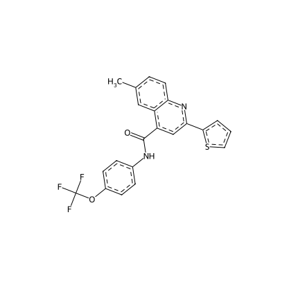 Cc1ccc2nc(-c3cccs3)cc(C(=O)Nc3ccc(OC(F)(F)F)cc3)c2c1